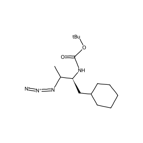 CC(N=[N+]=[N-])[C@H](CC1CCCCC1)NC(=O)OC(C)(C)C